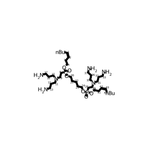 CCCC/C=C\CCOP(=O)(CCN(CCCN)CCCN)OCCCCCOP(=O)(CCN(CCCN)CCCN)OCC/C=C\CCCC